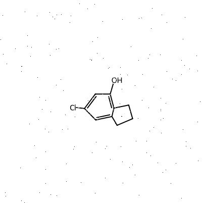 Oc1cc(Cl)cc2c1CCC2